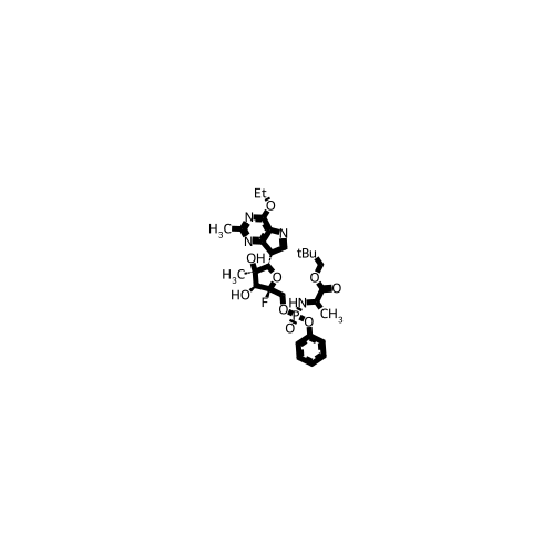 CCOc1nc(C)nc2c1N=CC2[C@@H]1O[C@](F)(COP(=O)(NC(C)C(=O)OCC(C)(C)C)Oc2ccccc2)[C@@H](O)[C@@]1(C)O